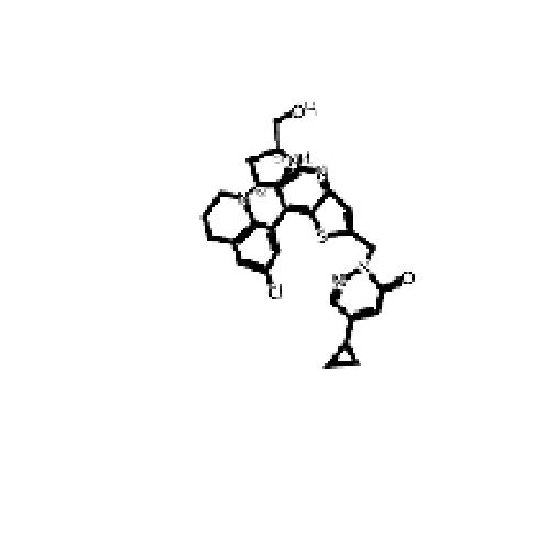 O=c1cc(C2CC2)cnn1Cc1cc2nccc(-c3cc(Cl)cc4c3N([C@@H]3CN[C@H](CO)C3)CCC4)c2s1